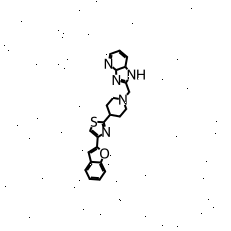 C1=CC2NC(CN3CCC(c4nc(-c5cc6ccccc6o5)cs4)CC3)=NC2N=C1